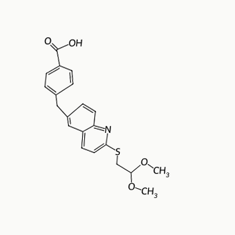 COC(CSc1ccc2cc(Cc3ccc(C(=O)O)cc3)ccc2n1)OC